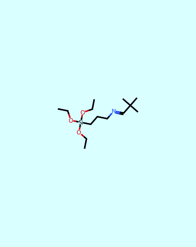 CCO[Si](CCCN=CC(C)(C)C)(OCC)OCC